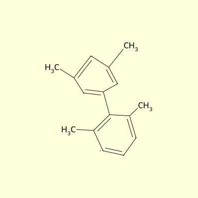 Cc1cc(C)cc(-c2c(C)[c]ccc2C)c1